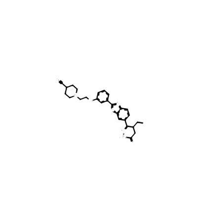 CCC1CC(=O)NN=C1c1ccc2nc(-c3cccc(OCCN4CCC(C#N)CC4)c3)oc2c1